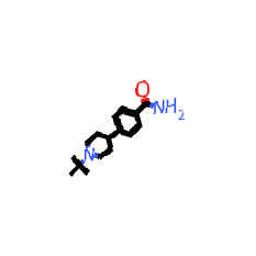 CC(C)(C)N1CCC(c2ccc(C(N)=O)cc2)CC1